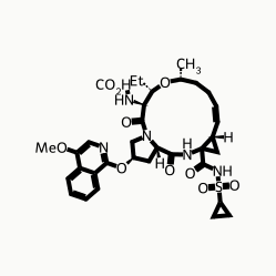 CC[C@@H]1O[C@H](C)CC/C=C\[C@@H]2CC2(C(=O)NS(=O)(=O)C2CC2)NC(=O)[C@@H]2C[C@@H](Oc3ncc(OC)c4ccccc34)CN2C(=O)[C@H]1NC(=O)O